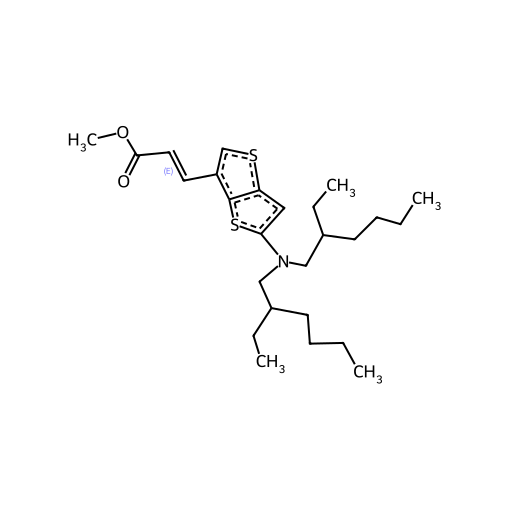 CCCCC(CC)CN(CC(CC)CCCC)c1cc2scc(/C=C/C(=O)OC)c2s1